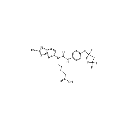 O=C(O)CCCCN(C(=O)Nc1ccc(OC(F)(F)CC(F)(F)F)cc1)c1ccc2nc(S)sc2n1